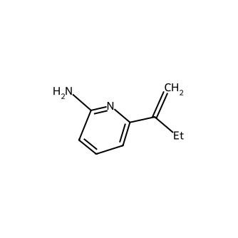 C=C(CC)c1cccc(N)n1